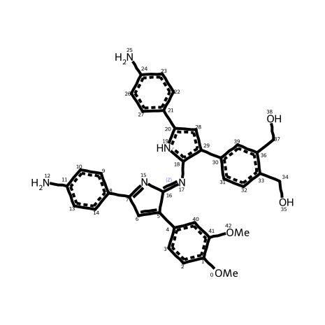 COc1ccc(C2=CC(c3ccc(N)cc3)=N/C2=N\c2[nH]c(-c3ccc(N)cc3)cc2-c2ccc(CO)c(CO)c2)cc1OC